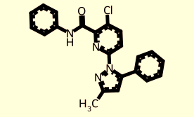 Cc1cc(-c2ccccc2)n(-c2ccc(Cl)c(C(=O)Nc3ccccc3)n2)n1